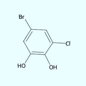 Oc1cc(Br)cc(Cl)c1O